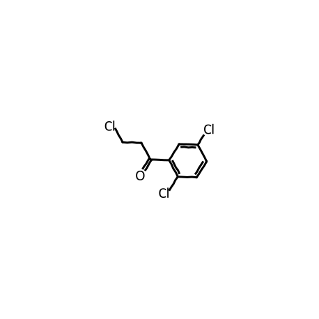 O=C(CCCl)c1cc(Cl)ccc1Cl